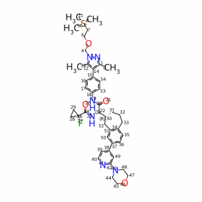 Cc1nn(COCCS(C)(C)C)c(C)c1-c1ccc(NC(=O)[C@@H](NC(=O)C2(F)CC2)[C@@H]2CCCc3ccc(-c4ccnc(N5CCOCC5)c4)cc3C2)cc1